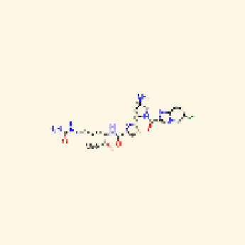 CNC(=O)C(CCCCNC(N)=O)NC(=O)c1csc([C@@H]2C[C@@H](N)CN2C(=O)c2cn3cc(Cl)ccc3n2)n1